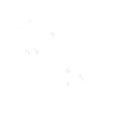 c1ccc(-c2nc(-c3ccccc3)nc(-c3cccc(-c4cccc5nc(-c6nncc7oc8ccccc8c67)ccc45)c3)n2)cc1